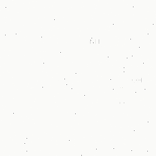 NCCC=C1c2ccccc2COc2ccc(CC(=O)O)cc21